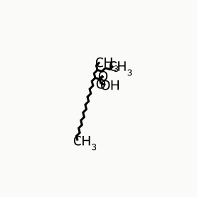 CCCCCCCCCCCCCCCCC(CC(CC)CCCC)C(=O)OO